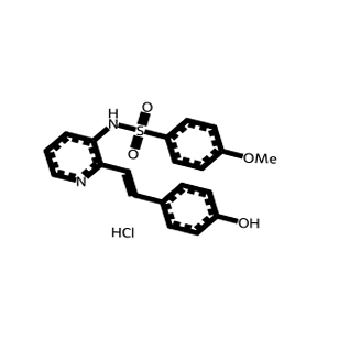 COc1ccc(S(=O)(=O)Nc2cccnc2C=Cc2ccc(O)cc2)cc1.Cl